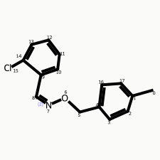 Cc1ccc(CO/N=[C]\c2ccccc2Cl)cc1